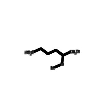 CCOC(=O)C(CCCC(=O)O)OCC